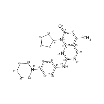 Cc1cc(=O)n(C2CCCC2)c2nc(Nc3ccc(N4CCCCC4)cc3)ncc12